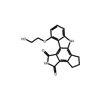 O=C1NC(=O)c2c1c1c(c3[nH]c4cccc(OCCO)c4c23)CCC1